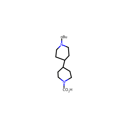 CCCCN1CCC(C2CCN(C(=O)O)CC2)CC1